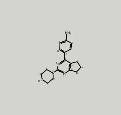 Nc1ccc(-c2nc(N3CCOCC3)nc3c2CCC3)cc1